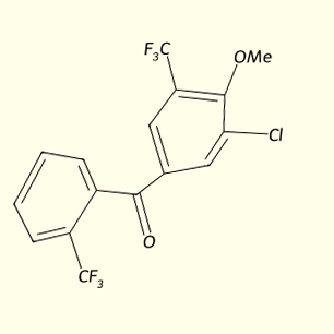 COc1c(Cl)cc(C(=O)c2ccccc2C(F)(F)F)cc1C(F)(F)F